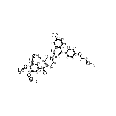 CCCOc1ccc(/C(=C/C(=O)N2CCN(C(=O)c3cc(OC)c(OC)c(OC)c3)CC2)c2ccc(Cl)cc2)cc1